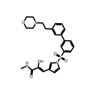 O=C(NI)C(O)=Cc1ccn(S(=O)(=O)c2cccc(-c3cccc(CCN4CCOCC4)c3)c2)c1